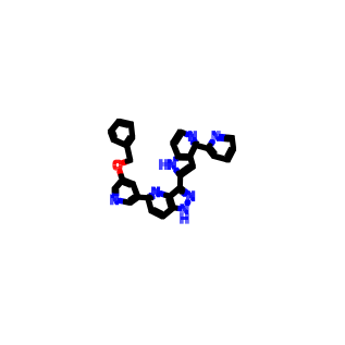 c1ccc(COc2cncc(-c3ccc4[nH]nc(-c5cc6c(-c7ccccn7)nccc6[nH]5)c4n3)c2)cc1